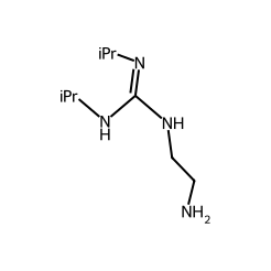 CC(C)/N=C(/NCCN)NC(C)C